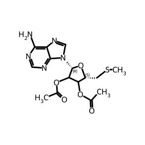 CSC[C@H]1O[C@@H](n2cnc3c(N)ncnc32)C(OC(C)=O)C1OC(C)=O